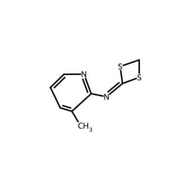 Cc1cccnc1N=C1SCS1